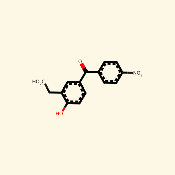 O=C(O)Cc1cc(C(=O)c2ccc([N+](=O)[O-])cc2)ccc1O